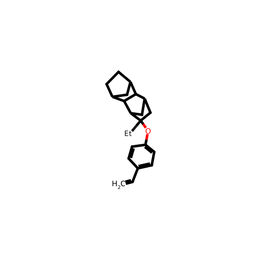 C=Cc1ccc(OC2(CC)CC3CC2C2C4CCC(C4)C32)cc1